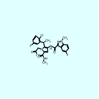 CNC(=O)c1cc(NC(=O)c2nn(C)c3ccc(F)cc23)c([C@H](C)c2cc(F)ccc2Cl)n1CC(C)=O